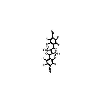 Cc1c(F)c(C#N)c(F)c(F)c1C1OS(=O)(=O)C2=C1S(=O)(=O)OC2c1c(F)c(F)c(C#N)c(F)c1F